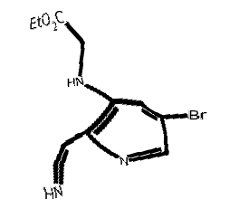 CCOC(=O)CNc1cc(Br)cnc1C=N